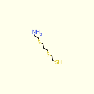 NCCSCCCSCCS